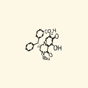 CCC(C)N1C[C@H](C(c2ccccc2)c2ccccc2)n2cc(C(=O)O)c(=O)c(O)c2C1=O